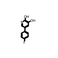 Oc1cc(-c2ccc(F)cc2)cnc1O